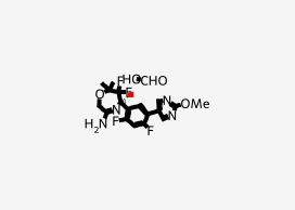 COc1ncc(-c2cc([C@@]3(C)N=C(N)COC(C)(C)C3(F)F)c(F)cc2F)cn1.O=CO